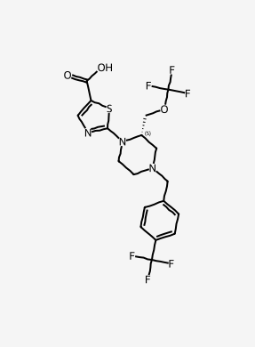 O=C(O)c1cnc(N2CCN(Cc3ccc(C(F)(F)F)cc3)C[C@H]2COC(F)(F)F)s1